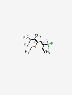 C=C/C(=C\C(SCC)=C(/C)C(C)C)C(F)(F)F